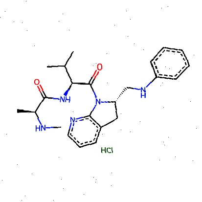 CN[C@@H](C)C(=O)N[C@H](C(=O)N1c2ncccc2C[C@H]1CNc1ccccc1)C(C)C.Cl